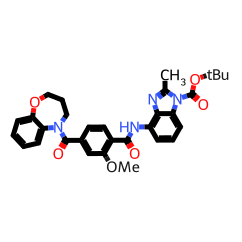 COc1cc(C(=O)N2CCCOc3ccccc32)ccc1C(=O)Nc1cccc2c1nc(C)n2C(=O)OC(C)(C)C